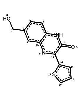 O=c1[nH]c2ccc(CO)cc2nc1-c1cccs1